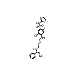 NCC(NCCCCNc1cc(F)c(S(=O)(=O)Nc2nccs2)cc1Cl)c1ccccc1